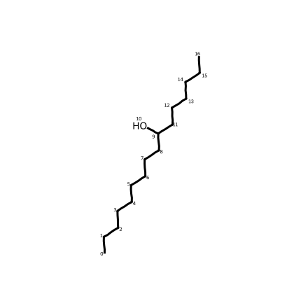 CCCCCCCCCC(O)CCCCCC